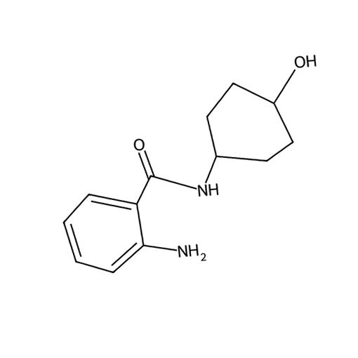 Nc1ccccc1C(=O)NC1CCC(O)CC1